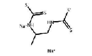 CC(CNC(=S)[S-])NC(=S)[S-].[Na+].[Na+]